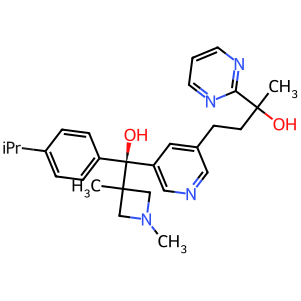 CC(C)c1ccc([C@](O)(c2cncc(CCC(C)(O)c3ncccn3)c2)C2(C)CN(C)C2)cc1